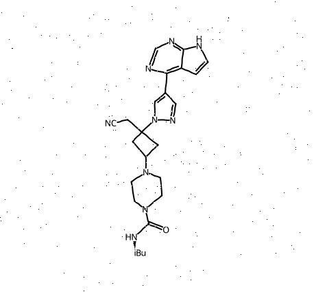 CC[C@H](C)NC(=O)N1CCN(C2CC(CC#N)(n3cc(-c4ncnc5[nH]ccc45)cn3)C2)CC1